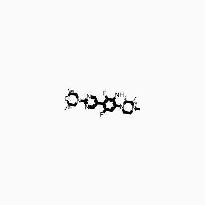 C[C@@H]1CN(c2ncc(-c3c(F)cc(N4CCN(C)[C@@H](C)C4)c(N)c3F)cn2)C[C@H](C)O1